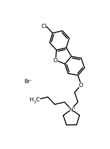 CCCC[N+]1(CCOc2ccc3c(c2)oc2cc(Cl)ccc23)CCCC1.[Br-]